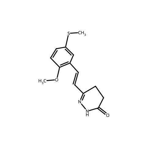 COc1ccc(SC)cc1C=CC1=NNC(=O)CC1